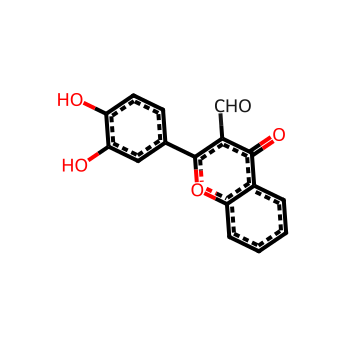 O=Cc1c(-c2ccc(O)c(O)c2)oc2ccccc2c1=O